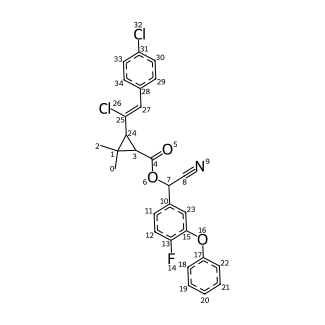 CC1(C)C(C(=O)OC(C#N)c2ccc(F)c(Oc3ccccc3)c2)C1C(Cl)=Cc1ccc(Cl)cc1